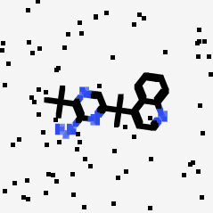 CC(C)(C)c1ncc(C(C)(C)c2ccnc3ccccc23)nc1N